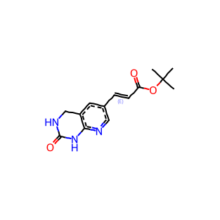 CC(C)(C)OC(=O)/C=C/c1cnc2c(c1)CNC(=O)N2